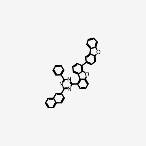 c1ccc(-c2nc(-c3ccc4ccccc4c3)nc(-c3cccc4oc5c(-c6ccc7oc8ccccc8c7c6)cccc5c34)n2)cc1